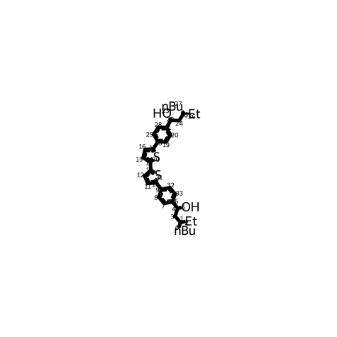 CCCCC(CC)CC(O)c1ccc(-c2ccc(-c3ccc(-c4ccc(C(O)C[C@H](CC)CCCC)cc4)s3)s2)cc1